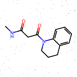 CNC(=O)CC(=O)N1CCCc2ccccc21